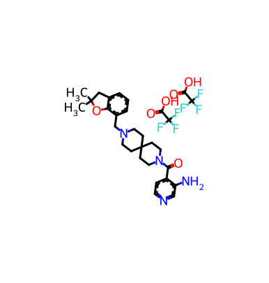 CC1(C)Cc2cccc(CN3CCC4(CC3)CCN(C(=O)c3ccncc3N)CC4)c2O1.O=C(O)C(F)(F)F.O=C(O)C(F)(F)F